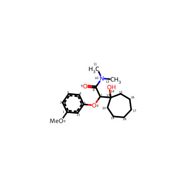 COc1cccc(OC(C(=O)N(C)C)C2(O)CCCCCC2)c1